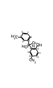 Cc1cccc(C(O)(O)c2cc(C)ccc2O)c1